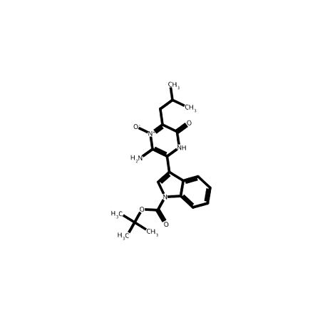 CC(C)Cc1c(=O)[nH]c(-c2cn(C(=O)OC(C)(C)C)c3ccccc23)c(N)[n+]1[O-]